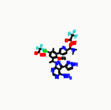 CCOc1c(C(C)n2nc(-c3cc[nH]n3)c3c(N)ncnc32)cc(Cl)c(C)c1-c1ccc(C(=O)N(C)C)nc1.O=C(O)C(F)(F)F.O=C(O)C(F)(F)F